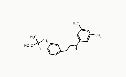 Cc1cc(C)cc(NCCc2ccc(OC(C)(C)C(=O)O)cc2)c1